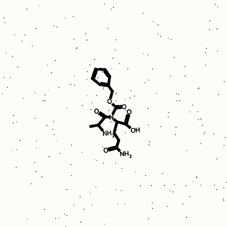 CC(N)C(=O)N(C(=O)OCc1ccccc1)C(CCC(N)=O)C(=O)O